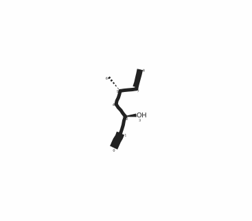 C#C[C@H](O)C[C@H](C)C=C